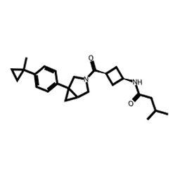 CC(C)CC(=O)N[C@H]1C[C@@H](C(=O)N2CC3CC3(c3ccc(C4(C)CC4)cc3)C2)C1